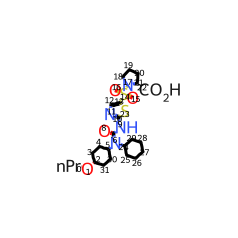 CCCOC1CCC(N(C(=O)Nc2ncc(S(=O)(=O)N3CCC[C@@H]3C(=O)O)s2)C2CCCCC2)CC1